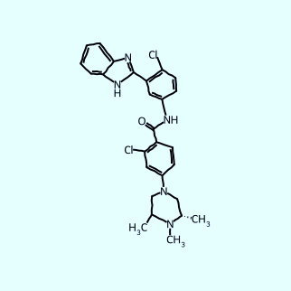 CC1CN(c2ccc(C(=O)Nc3ccc(Cl)c(-c4nc5ccccc5[nH]4)c3)c(Cl)c2)C[C@H](C)N1C